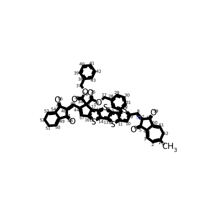 CC1=CC=C2C(=O)/C(=C\c3cc4sc5c6sc7c(c6sc5c4s3)C(C(=O)OCc3ccccc3)(C(=O)OCc3ccccc3)C(C=C3C(=O)C4=CCCC=C4C3=O)=C7)C(=O)C2=CC1